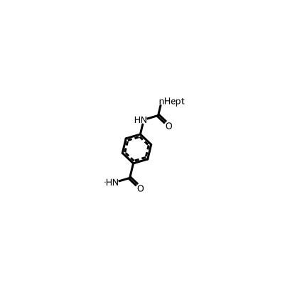 CCCCCCCC(=O)Nc1ccc(C([NH])=O)cc1